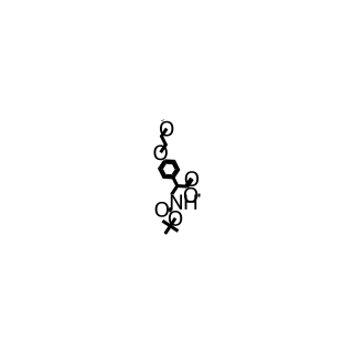 COCCOc1ccc(C(CNC(=O)OC(C)(C)C)C(=O)OC)cc1